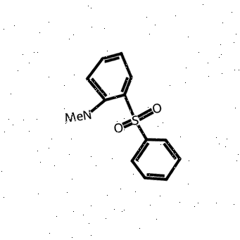 CNc1ccccc1S(=O)(=O)c1ccccc1